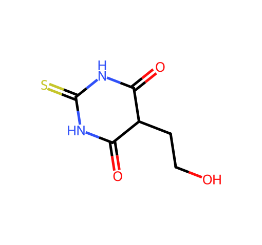 O=C1NC(=S)NC(=O)C1CCO